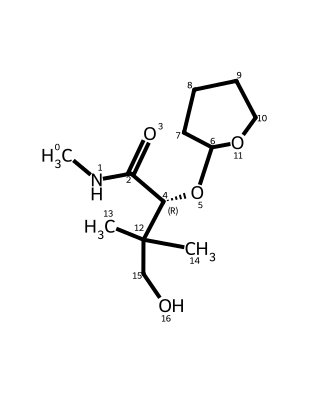 CNC(=O)[C@H](OC1CCCCO1)C(C)(C)CO